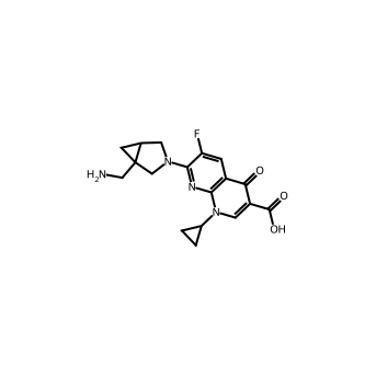 NCC12CC1CN(c1nc3c(cc1F)c(=O)c(C(=O)O)cn3C1CC1)C2